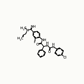 C=CCN(C)C(=N)c1ccc(NC(=O)C(NC(=O)Nc2ccc(Cl)cc2)c2ccccc2)c(F)c1